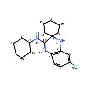 Clc1ccc2c(c1)NC1(CCCCC1)C(NC1CCCCC1)=N2